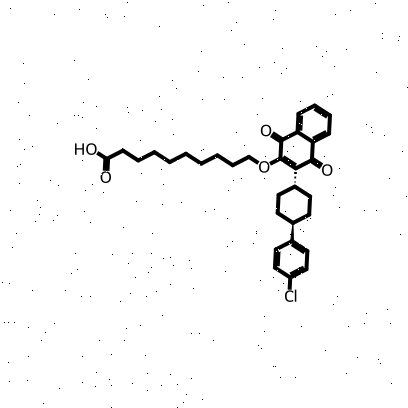 O=C(O)CCCCCCCCCOC1=C([C@H]2CC[C@H](c3ccc(Cl)cc3)CC2)C(=O)c2ccccc2C1=O